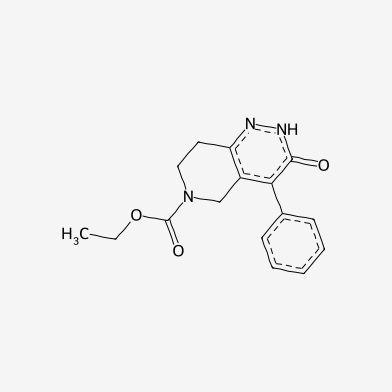 CCOC(=O)N1CCc2n[nH]c(=O)c(-c3ccccc3)c2C1